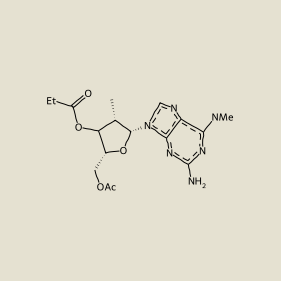 CCC(=O)OC1[C@@H](COC(C)=O)O[C@@H](n2cnc3c(NC)nc(N)nc32)[C@H]1C